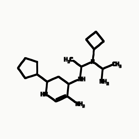 CC(N)N(C1CCC1)C(C)NC1CC(C2CCCC2)NC=C1N